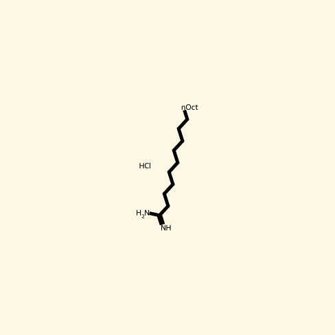 CCCCCCCCCCCCCCCCCC(=N)N.Cl